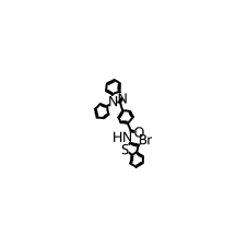 O=C(Nc1sc2ccccc2c1Br)c1ccc(-c2nc3ccccc3n2-c2ccccc2)cc1